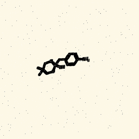 CC1(C)CO[P](O)(Cc2ccc(N)cc2)OC1